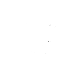 CCn1cnc2nc(OC)c(C(=O)O)cc21